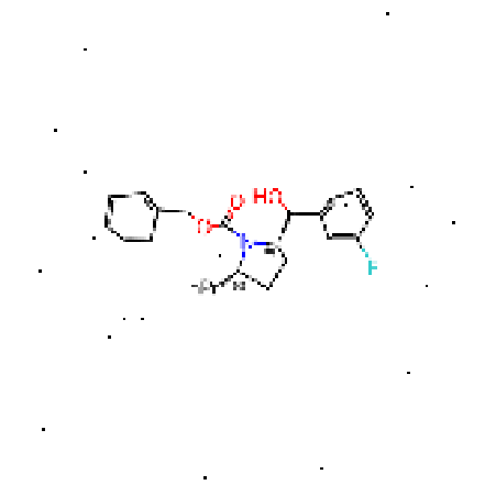 CCC[C@@H]1CC[C@H](C(O)c2cccc(F)c2)N1C(=O)OCc1ccccc1